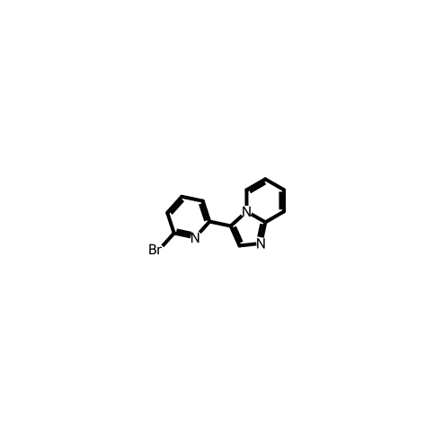 Brc1cccc(-c2cnc3ccccn23)n1